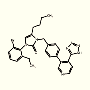 CCCCc1cn(-c2c(Br)cccc2CC)c(=O)n1Cc1ccc(-c2cnccc2-c2nnn[nH]2)cc1